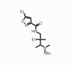 CCCCN(C)C(C)C(C)(CC)CNC(=O)c1cc(CC)on1